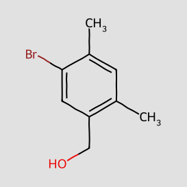 Cc1cc(C)c(CO)cc1Br